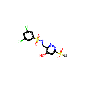 CCS(=O)(=O)c1cc(O)c(CNS(=O)(=O)c2cc(Cl)cc(Cl)c2)nn1